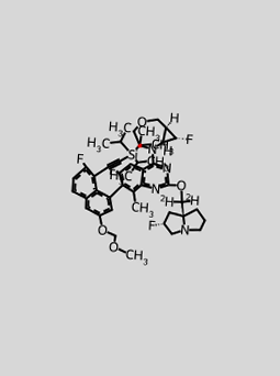 [2H]C([2H])(Oc1nc(N2CCOC[C@H]3[C@H](F)[C@H]32)c2cc(F)c(-c3cc(OCOC)cc4ccc(F)c(C#C[Si](C(C)C)(C(C)C)C(C)C)c34)c(C)c2n1)[C@@]12CCCN1C[C@H](F)C2